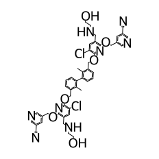 Cc1c(COc2nc(OCc3cncc(C#N)c3)c(CNCCO)cc2Cl)cccc1-c1cccc(COc2nc(OCc3cncc(C#N)c3)c(CNCCO)cc2Cl)c1C